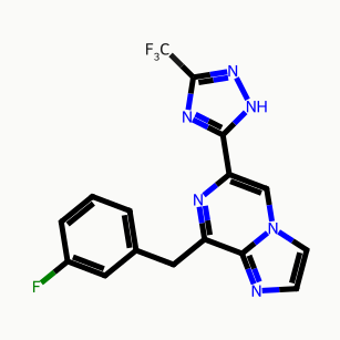 Fc1cccc(Cc2nc(-c3nc(C(F)(F)F)n[nH]3)cn3ccnc23)c1